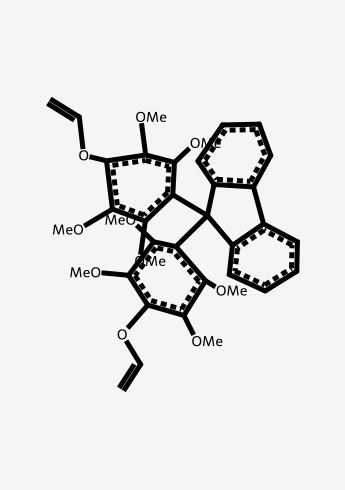 C=COc1c(OC)c(OC)c(C2(c3c(OC)c(OC)c(OC=C)c(OC)c3OC)c3ccccc3-c3ccccc32)c(OC)c1OC